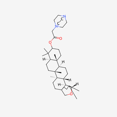 CC1(C)CC[C@]23CC[C@]4(C)[C@H](CC[C@@H]5[C@@]6(C)CCC(OC(=O)C[N+]78CCN(CC7)CC8)C(C)(C)[C@@H]6CC[C@]54C)[C@H]2[C@H]1OC3